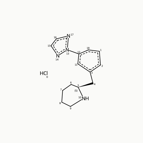 Cl.c1cc(C[C@@H]2CCCCN2)cc(-n2nccn2)c1